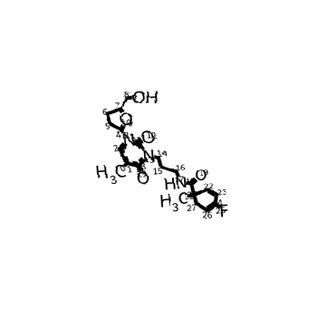 Cc1cn([C@H]2CC[C@@H](CO)O2)c(=O)n(CCCNC(=O)C2(C)C=CC(F)=CC2)c1=O